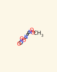 CCOC(=O)N1CCC2(CC(N3CC(OC(=O)N4CCCOCC4)C3)C2)C1